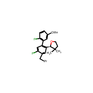 COc1ccc(F)c(-c2cc(F)c(CC(C)C)cc2[C@H]2OCCC2(C)C)c1